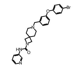 O=C(Nc1cccnc1)N1CC2(CCN(Cc3cccc(Oc4ccc(Br)cc4)c3)CC2)C1